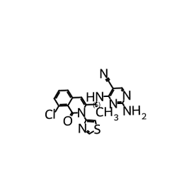 C[C@H](Nc1nc(N)ncc1C#N)c1cc2cccc(Cl)c2c(=O)n1-c1cscn1